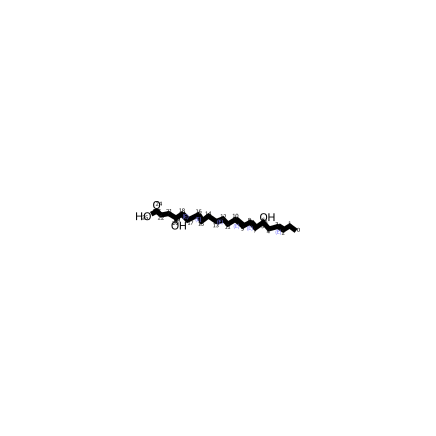 CC/C=C/C[C@H](O)/C=C/C=C/C/C=C/C/C=C/C=C/[C@@H](O)CCC(=O)O